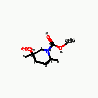 CC1CCC(C)(O)CN1C(=O)OC(C)(C)C